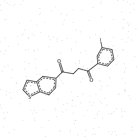 O=C(CCC(=O)c1ccc2sccc2c1)c1cccc(I)c1